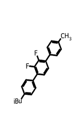 CCC(C)c1ccc(-c2ccc(-c3ccc(C)cc3)c(F)c2F)cc1